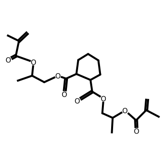 C=C(C)C(=O)OC(C)COC(=O)C1CCCCC1C(=O)OCC(C)OC(=O)C(=C)C